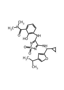 CC(C)c1coc([C@H](NC2=NS(=O)(=O)N=C2Nc2cccc(C(=O)N(C)C)c2O)C2CC2)c1